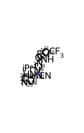 CC(C)C1CN(C(=O)Nc2cc(C(F)(F)F)ccc2F)CCN1/C(=N\C#N)Nc1cccc2ncccc12